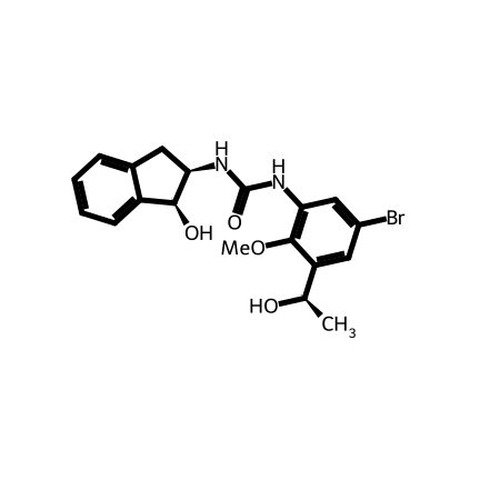 COc1c(NC(=O)N[C@@H]2Cc3ccccc3[C@@H]2O)cc(Br)cc1[C@@H](C)O